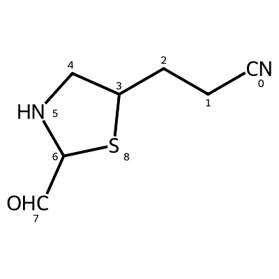 N#CCCC1CNC(C=O)S1